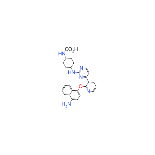 Nc1ccc(Oc2ncccc2-c2ccnc(NC3CCC(NC(=O)O)CC3)n2)c2ccccc12